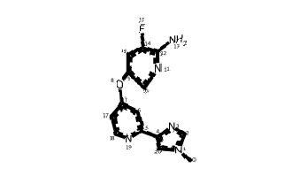 Cn1cnc(-c2cc(Oc3cnc(N)c(F)c3)ccn2)c1